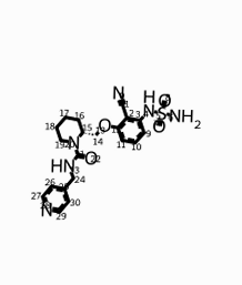 N#Cc1c(NS(N)(=O)=O)cccc1OC[C@H]1CCCCN1C(=O)NCc1ccncc1